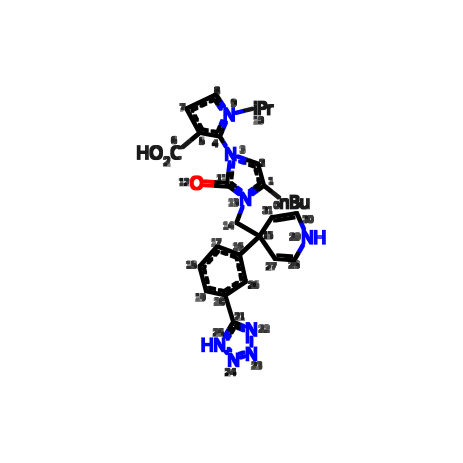 CCCCc1cn(-c2c(C(=O)O)ccn2C(C)C)c(=O)n1CC1(c2cccc(-c3nnn[nH]3)c2)C=CNC=C1